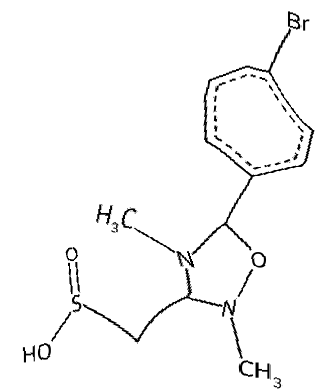 CN1OC(c2ccc(Br)cc2)N(C)C1CS(=O)O